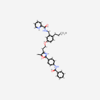 Cc1oc(-c2ccc(NC(=O)c3ccccc3)cc2)nc1CCOc1ccc(CCC(=O)O)c(CNC(=O)c2ccccn2)c1